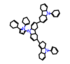 C1=CCCC(N2C3CCC(C4C=CC5C(C4)C4CC(C6C=CC7C(C6)C6CCC=CC6N7C6=CC=CCC6)C=CC4N5c4ccc(C5C=CCCC5)n4C4=CCCCC4)C=C3C3CCC=CC32)=C1